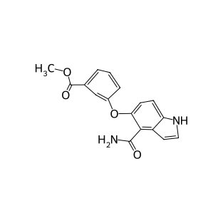 COC(=O)c1cccc(Oc2ccc3[nH]ccc3c2C(N)=O)c1